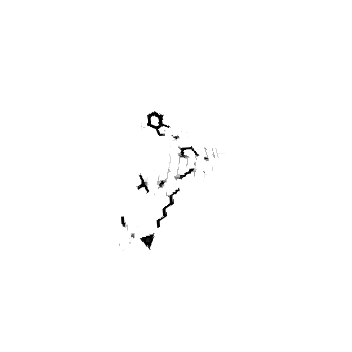 CCOC(=O)[C@H]1C[C@H]1CCCCCCC[C@H](NC(=O)OC(C)(C)C)C(=O)N1C[C@H](OC(=O)N2Cc3cccc(F)c3C2)C[C@H]1C(N)=O